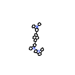 c1ccc(-n2c3ccccc3c3cc(-c4cc5ccc6cc(-c7ccc8c(c7)c7ccccc7n8-c7ccc8c9cccc%10c%11ccccc%11n(c8c7)c%109)cc7ccc(c4)c5c67)ccc32)cc1